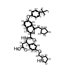 CC(C)(C)c1ccc(Oc2ccc3cc(C(=O)NC(CC(=O)O)c4ccc(OCC5CCCN5)cc4)nc(CC4CCCC4)c3c2)cc1